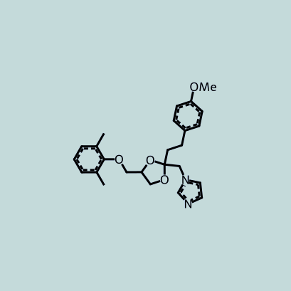 COc1ccc(CCC2(Cn3ccnc3)OCC(COc3c(C)cccc3C)O2)cc1